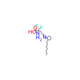 CCCCCCCC1CCC/C1=N\CCCC(N)(C(=O)O)C(F)F